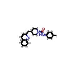 Cc1ccc(NC(=O)N2CCC(Cc3ccc4ccccc4n3)CC2)cc1